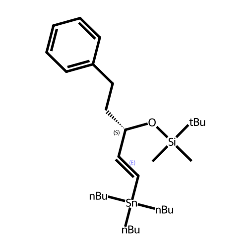 CCC[CH2][Sn](/[CH]=C/[C@H](CCc1ccccc1)O[Si](C)(C)C(C)(C)C)([CH2]CCC)[CH2]CCC